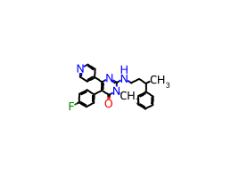 CC(CCNc1nc(-c2ccncc2)c(-c2ccc(F)cc2)c(=O)n1C)c1ccccc1